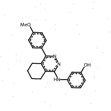 COc1ccc(-c2nnc(Nc3cccc(O)c3)c3c2CCCC3)cc1